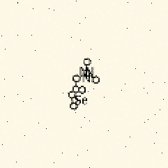 c1ccc(-c2nc(-c3ccccc3)nc(-c3cccc(-c4cc5ccc6c7ccccc7[se]c6c5c5ccccc45)c3)n2)cc1